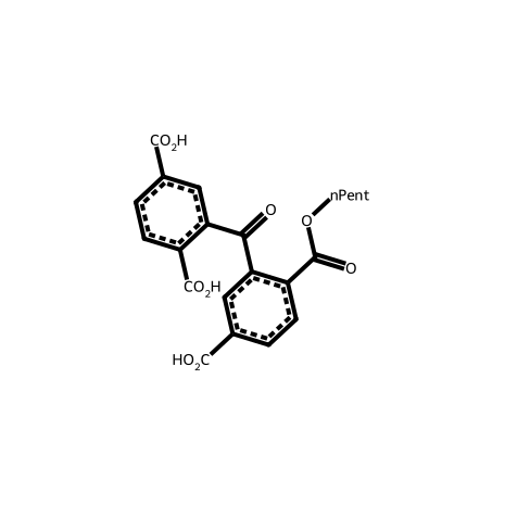 CCCCCOC(=O)c1ccc(C(=O)O)cc1C(=O)c1cc(C(=O)O)ccc1C(=O)O